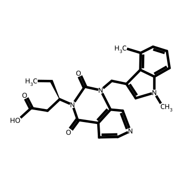 CC[C@H](CC(=O)O)n1c(=O)c2ccncc2n(Cc2cn(C)c3cccc(C)c23)c1=O